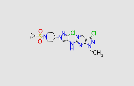 CCn1nc(Cl)c2cnc(Nc3cn(C4CCN(S(=O)(=O)C5CC5)CC4)nc3Cl)nc21